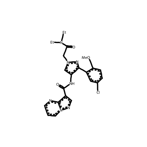 CCN(CC)C(=O)Cn1cc(NC(=O)c2cnn3cccnc23)c(-c2cc(Cl)ccc2OC)n1